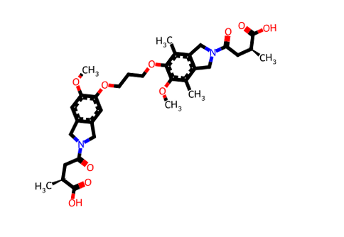 COc1cc2c(cc1OCCCOc1c(C)c3c(c(C)c1OC)CN(C(=O)C[C@H](C)C(=O)O)C3)CN(C(=O)C[C@H](C)C(=O)O)C2